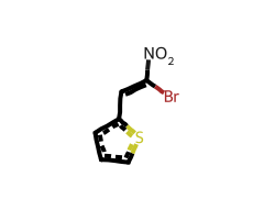 O=[N+]([O-])C(Br)=Cc1cccs1